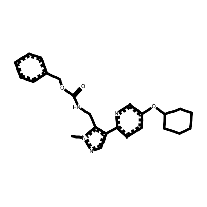 Cn1ncc(-c2ccc(OC3CCCCC3)cn2)c1CNC(=O)OCc1ccccc1